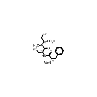 CN[C@@H](Cc1ccccc1)C(=O)N[C@@H](CC(C)C)C(=O)N(C)[C@@H](CC(C)C)C(=O)O